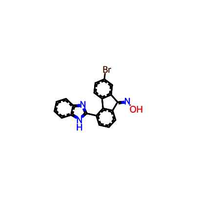 ON=C1c2cc(Br)ccc2-c2c1cccc2-c1nc2ccccc2[nH]1